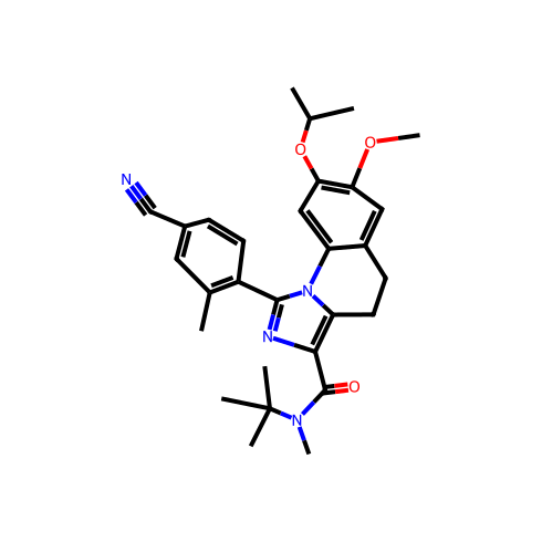 COc1cc2c(cc1OC(C)C)-n1c(-c3ccc(C#N)cc3C)nc(C(=O)N(C)C(C)(C)C)c1CC2